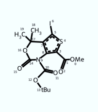 COC(=O)c1sc(I)c2c1N(C(=O)OC(C)(C)C)C(=O)OC2(C)C